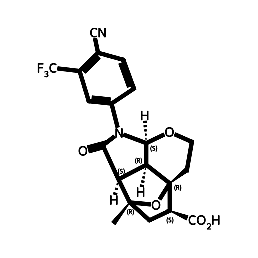 C[C@@]12C[C@H](C(=O)O)[C@]3(CCO[C@H]4[C@@H]3[C@@H]1C(=O)N4c1ccc(C#N)c(C(F)(F)F)c1)O2